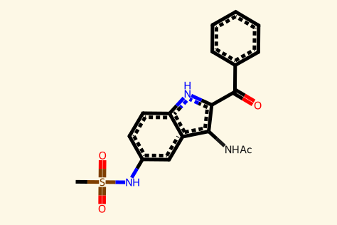 CC(=O)Nc1c(C(=O)c2ccccc2)[nH]c2ccc(NS(C)(=O)=O)cc12